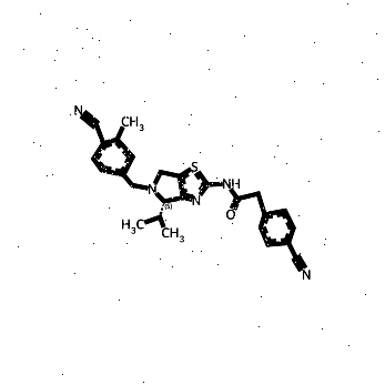 Cc1cc(CN2Cc3sc(NC(=O)Cc4ccc(C#N)cc4)nc3[C@@H]2C(C)C)ccc1C#N